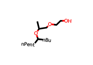 CCCCCC(CCCC)OC(C)COCCO